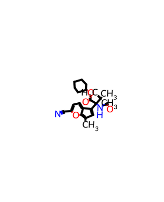 Cc1cc(C(NC=O)(C(=O)OC2CCCCC2)C(C)(C)C)c2ccc(C#N)oc1-2